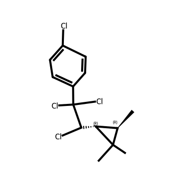 C[C@@H]1[C@@H](C(Cl)C(Cl)(Cl)c2ccc(Cl)cc2)C1(C)C